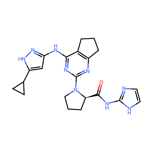 O=C(Nc1ncc[nH]1)[C@H]1CCCN1c1nc2c(c(Nc3cc(C4CC4)[nH]n3)n1)CCC2